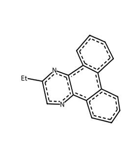 CCc1cnc2c3ccccc3c3ccccc3c2n1